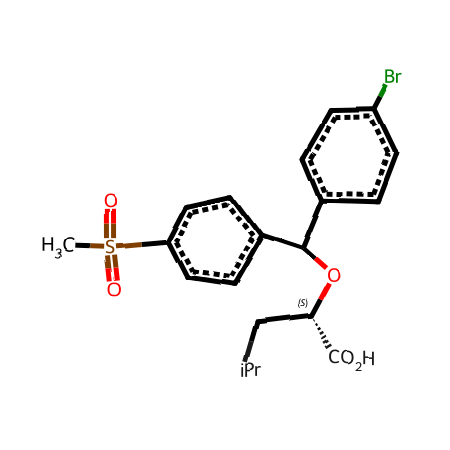 CC(C)C[C@H](OC(c1ccc(Br)cc1)c1ccc(S(C)(=O)=O)cc1)C(=O)O